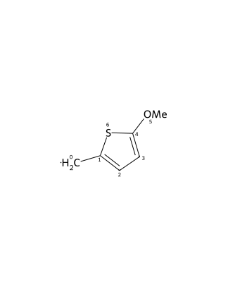 [CH2]c1ccc(OC)s1